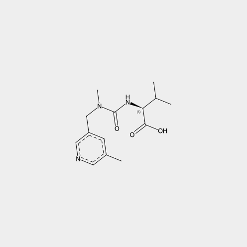 Cc1cncc(CN(C)C(=O)N[C@H](C(=O)O)C(C)C)c1